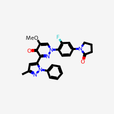 COc1cn(-c2ccc(N3CCCC3=O)cc2F)nc(-c2cc(C)nn2-c2ccccc2)c1=O